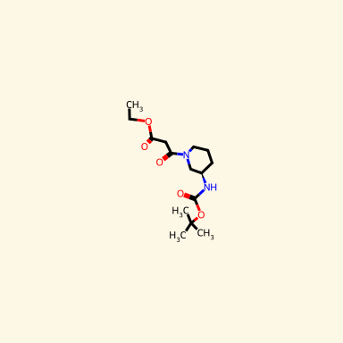 CCOC(=O)CC(=O)N1CCC[C@@H](NC(=O)OC(C)(C)C)C1